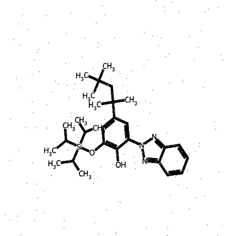 CC(C)[Si](Oc1cc(C(C)(C)CC(C)(C)C)cc(-n2nc3ccccc3n2)c1O)(C(C)C)C(C)C